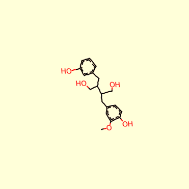 COc1cc(CC(CO)C(CO)Cc2cccc(O)c2)ccc1O